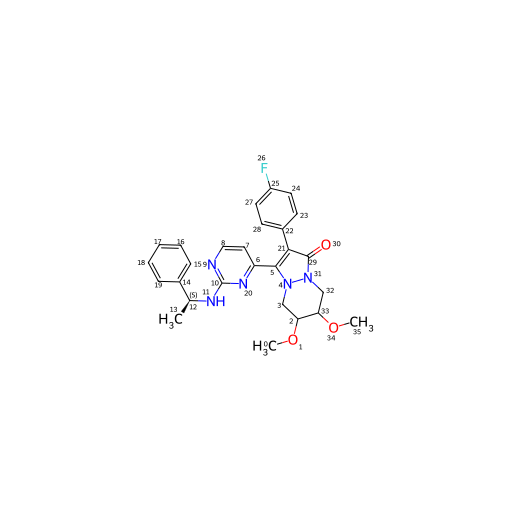 COC1Cn2c(-c3ccnc(N[C@@H](C)c4ccccc4)n3)c(-c3ccc(F)cc3)c(=O)n2CC1OC